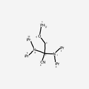 CC(C)N(C(C)C)C(C#N)(COP)N(C(C)C)C(C)C